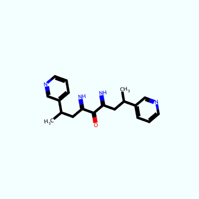 CC(CC(=N)C(=O)C(=N)CC(C)c1cccnc1)c1cccnc1